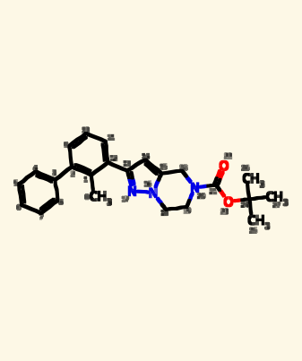 Cc1c(-c2ccccc2)cccc1-c1cc2n(n1)CCN(C(=O)OC(C)(C)C)C2